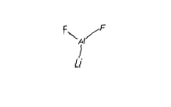 [Li][Al]([F])[F]